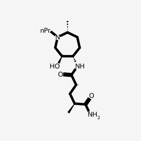 CCCN1C[C@H](O)[C@@H](NC(=O)[CH]C[C@H](C)C(N)=O)CC[C@H]1C